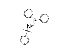 CC(C)(N=CP(c1ccccc1)c1ccccc1)c1ccccc1